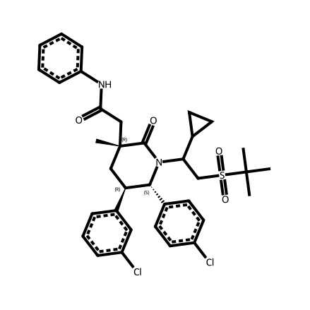 CC(C)(C)S(=O)(=O)CC(C1CC1)N1C(=O)[C@@](C)(CC(=O)Nc2ccccc2)C[C@H](c2cccc(Cl)c2)[C@H]1c1ccc(Cl)cc1